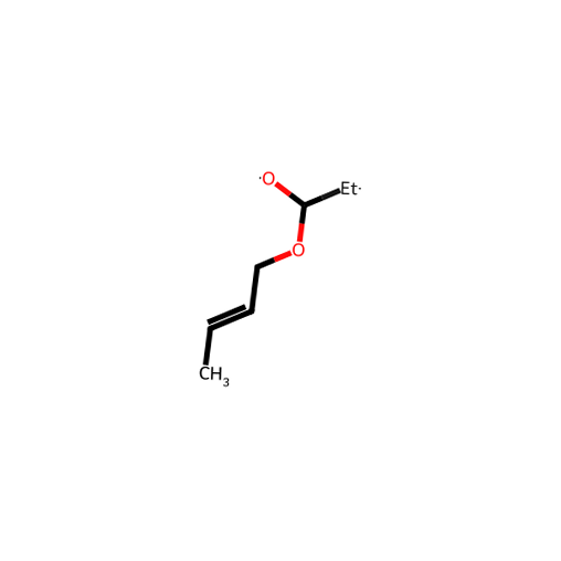 C[CH]C([O])OCC=CC